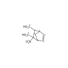 O=C(O)C1C2C=CC(C2)C1(C(=O)O)[N+](=O)[O-]